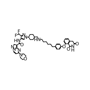 O=C1Cc2cccc(Oc3ccc(CCCCCCNCC4CCC(n5cc(NC(=O)c6cnn7ccc(N8CCOCC8)nc67)c(C(F)F)n5)CC4)cc3)c2C(=O)N1